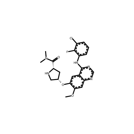 COc1cc2ncnc(Nc3cccc(Cl)c3F)c2cc1O[C@@H]1CN[C@H](C(=O)N(C)C)C1